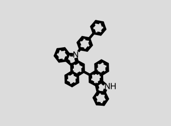 c1ccc(-c2ccc(-n3c4ccccc4c4c5ccccc5c(-c5cc6c7ccccc7[nH]c6c6ccccc56)cc43)cc2)cc1